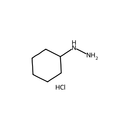 Cl.NNC1CCCCC1